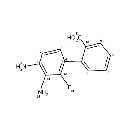 Nc1ccc(-c2ccccc2C(=O)O)c(F)c1N